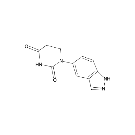 O=C1CCN(c2ccc3[nH]ncc3c2)C(=O)N1